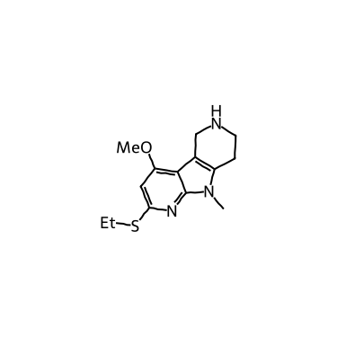 CCSc1cc(OC)c2c3c(n(C)c2n1)CCNC3